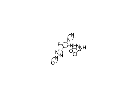 C[C@@H]1CN(c2cc(F)c(-c3cnc(N4CCOCC4)nc3)cc2NC(=O)c2n[nH]cc2Cl)CCN1C